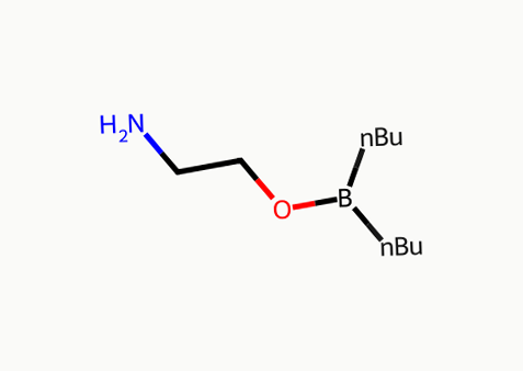 CCCCB(CCCC)OCCN